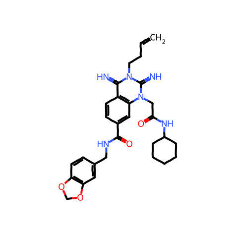 C=CCCn1c(=N)c2ccc(C(=O)NCc3ccc4c(c3)OCO4)cc2n(CC(=O)NC2CCCCC2)c1=N